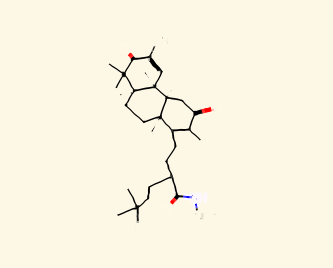 CCC(C)(C)CC[C@@](C)(CC[C@]1(C)C(C)C(=O)C[C@@H]2[C@@]3(C)C=C(C#N)C(=O)C(C)(C)[C@@H]3CC[C@]21C)C(=O)NNC(C)=O